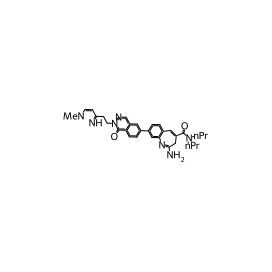 CCCN(CCC)C(=O)C1=Cc2ccc(-c3ccc4c(=O)n(CCC(=N)/C=C\NC)ncc4c3)cc2N=C(N)C1